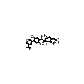 O=C(Nc1cc(Cl)c(-c2cncc(C(F)F)c2)cc1F)N1[C@H]2CC[C@@H]1c1n[nH]c(=O)cc1C2